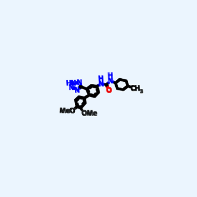 COc1ccc(-c2ccc(NC(=O)NC3CCC(C)CC3)cc2-c2nn[nH]n2)cc1OC